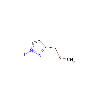 CSCc1ccn(I)n1